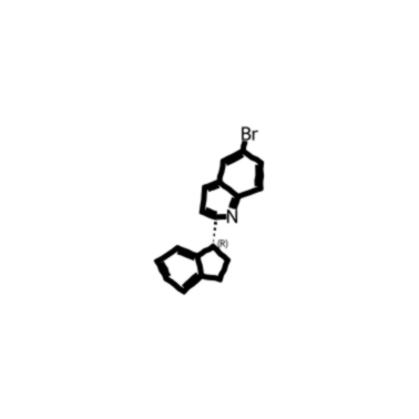 Brc1ccc2nc([C@@H]3CCc4ccccc43)ccc2c1